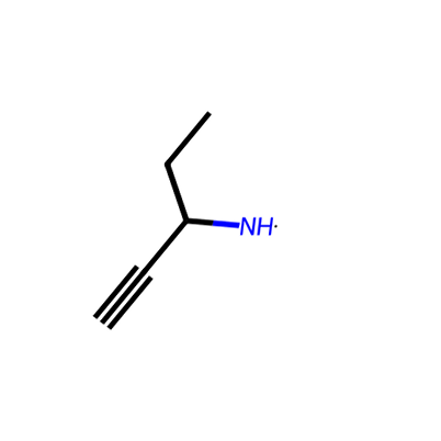 C#CC([NH])CC